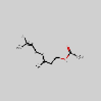 CCCCCCCCC(=O)OCCC(C)CCC=C(C(F)(F)F)C(F)(F)F